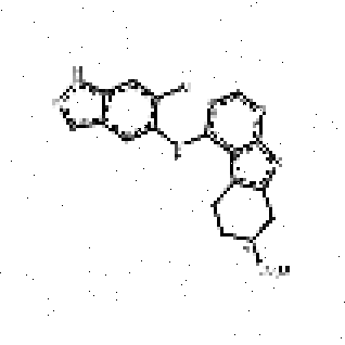 CCOC(=O)[C@H]1CCc2c(sc3ncnc(Nc4cc5cn[nH]c5cc4Cl)c23)C1